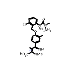 CCc1cccc(N(N)C(=O)N(C)N)c1COc1ccc(C(=N)/C(C)=C(\NC)C(=O)O)cc1C